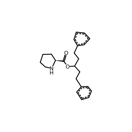 O=C(OC(CCc1ccccc1)CCc1ccccc1)[C@@H]1CCCCN1